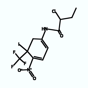 CCC(Cl)C(=O)NC1=CC=C([N+](=O)[O-])C(I)(C(F)(F)F)C1